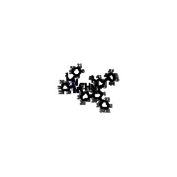 C[C@H](/N=C(\N=C(/CI)c1ccccc1)c1ccccc1)c1cccc(-c2cc(-c3ccccc3)cc3c2[nH]c2c(I)cc(-c4ccccc4)cc23)c1